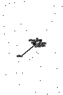 CCCCCCCCCCCCCCCCCCCCCCCCC(=O)N[C@@H](CO[C@H]1O[C@H](CO)[C@H](O)[C@H](O)[C@H]1O)[C@H](O)[C@H](O)CCCCC